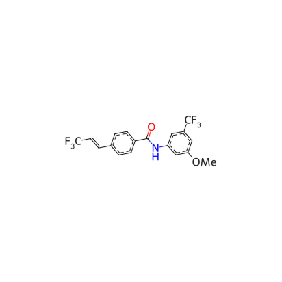 COc1cc(NC(=O)c2ccc(/C=C/C(F)(F)F)cc2)cc(C(F)(F)F)c1